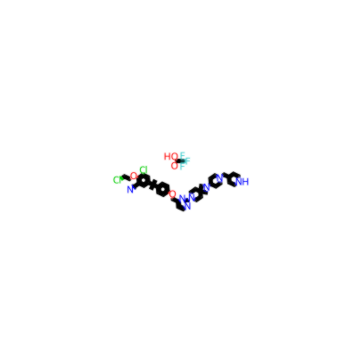 CC(C)(c1ccc(OCc2ccnc(N3CCC4(CC3)CN(C3CCN(CC5CCNCC5)CC3)C4)n2)cc1)c1cc(Cl)c(OCCCl)c(C#N)c1.O=C(O)C(F)(F)F